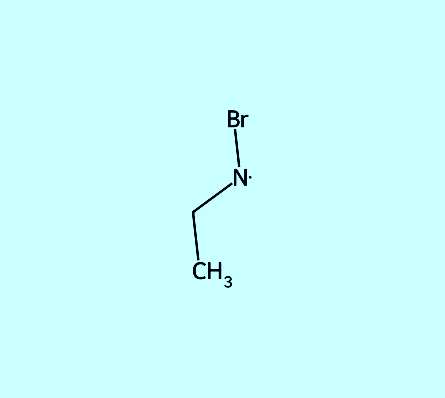 CC[N]Br